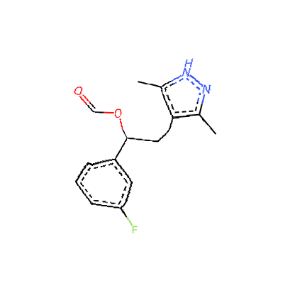 Cc1n[nH]c(C)c1CC(OC=O)c1cccc(F)c1